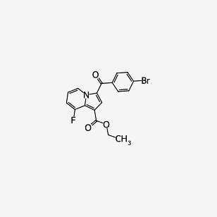 CCOC(=O)c1cc(C(=O)c2ccc(Br)cc2)n2cccc(F)c12